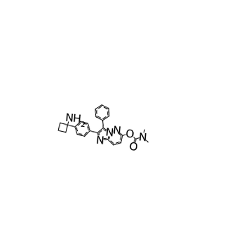 CN(C)C(=O)Oc1ccc2nc(-c3ccc(C4(N)CCC4)cc3)c(-c3ccccc3)n2n1